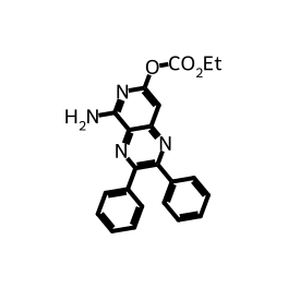 CCOC(=O)Oc1cc2nc(-c3ccccc3)c(-c3ccccc3)nc2c(N)n1